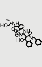 CC[C@@H](CO)NC(=O)c1csc2c1S(=O)(=O)N=C(c1c(O)c3ccccc3n(Cc3ccccc3)c1=O)N2